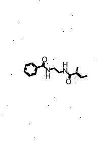 C/C=C(\C)C(=O)NCCNC(=O)c1ccccc1